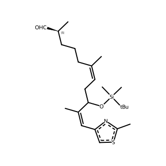 CC(=CCC(O[Si](C)(C)C(C)(C)C)C(C)=Cc1csc(C)n1)CCC[C@H](C)C=O